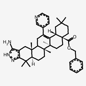 CC1(C)CC[C@]2(C(=O)OCc3ccccc3)CC[C@]3(C)C(=C(c4cccnc4)CC4[C@@]5(C)Cc6c(n[nH]c6N)C(C)(C)[C@@H]5CC[C@]43C)[C@@H]2C1